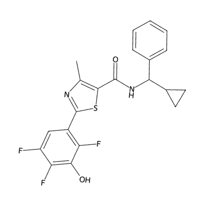 Cc1nc(-c2cc(F)c(F)c(O)c2F)sc1C(=O)NC(c1ccccc1)C1CC1